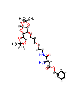 CC1(C)OCC([C@H]2O[C@@H]3OC(C)(C)OC3[C@@H]2OCCCOCCNC(=O)C(N)CC(=O)OCc2ccccc2)O1